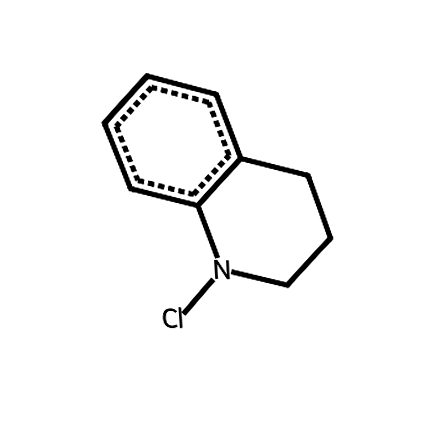 ClN1CCCc2ccccc21